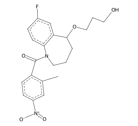 Cc1cc([N+](=O)[O-])ccc1C(=O)N1CCCC(OCCCO)c2cc(F)ccc21